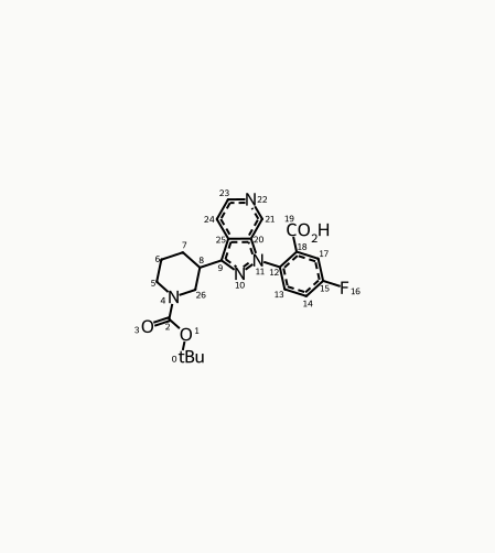 CC(C)(C)OC(=O)N1CCCC(c2nn(-c3ccc(F)cc3C(=O)O)c3cnccc23)C1